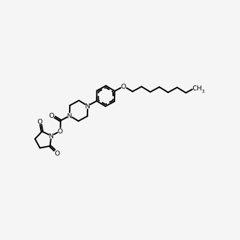 CCCCCCCCOc1ccc(N2CCN(C(=O)ON3C(=O)CCC3=O)CC2)cc1